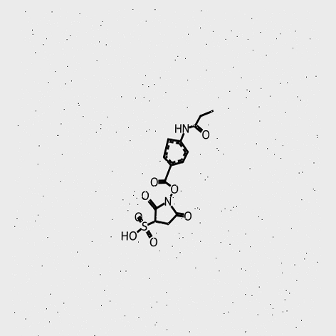 CCC(=O)Nc1ccc(C(=O)ON2C(=O)CC(S(=O)(=O)O)C2=O)cc1